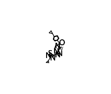 C[C@@H]1c2nnc(-c3nc(C4CC4)ns3)n2CCN1C(=O)c1ccc(C2CC2)cc1